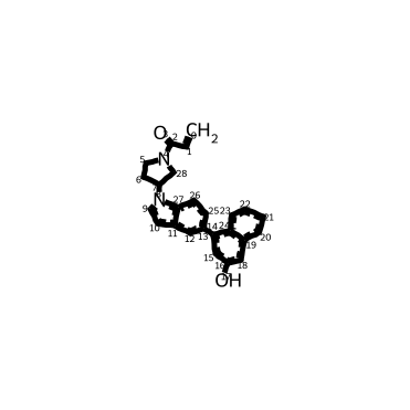 C=CC(=O)N1CCC(n2ccc3cc(-c4cc(O)cc5ccccc45)ccc32)C1